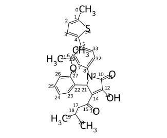 Cc1ccc(-c2ccc(N3C(=O)C(O)=C(C(=O)CC(C)C)C3c3ccccc3OC(C)C)cc2)s1